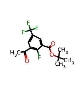 CC(=O)c1cc(C(F)(F)F)cc(C(=O)OC(C)(C)C)c1F